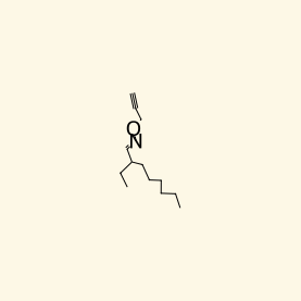 C#CCO/N=C/C(CC)CCCCCC